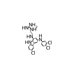 N=C(N)NCCNc1cc(Nc2ccc(Cl)c(Cl)c2)cc2c1[nH]c1ccc(Cl)cc12